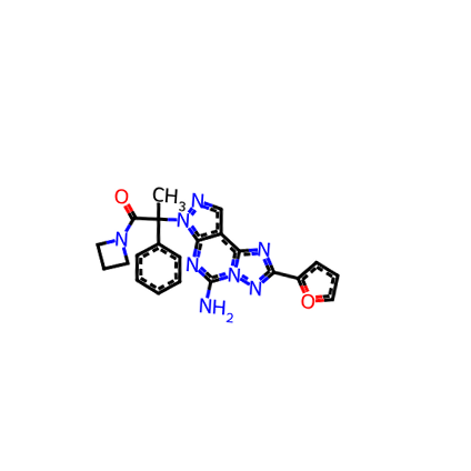 CC(C(=O)N1CCC1)(c1ccccc1)n1ncc2c1nc(N)n1nc(-c3ccco3)nc21